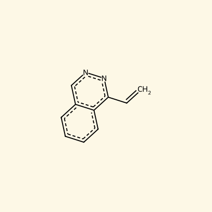 C=Cc1nncc2ccccc12